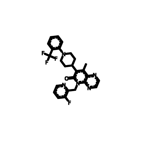 Cc1c(C2CCN(c3ccccc3C(F)(F)F)CC2)c(=O)n(Cc2ncccc2F)c2nccnc12